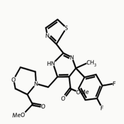 COC(=O)C1=C(CN2CCOCC2C(=O)OC)NC(c2nccs2)=NC1(C)c1ccc(F)c(F)c1